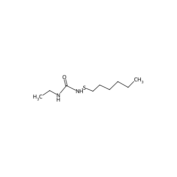 CCCCCCSNC(=O)NCC